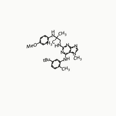 COc1ccc(NC(C)(C)CNc2nc(Nc3cc(C(C)(C)C)ccc3C)c3c(ncn3C)n2)cc1